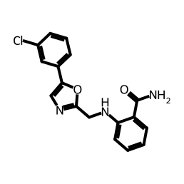 NC(=O)c1ccccc1NCc1ncc(-c2cccc(Cl)c2)o1